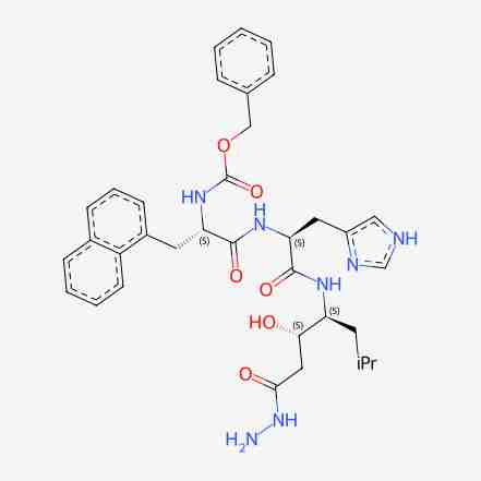 CC(C)C[C@H](NC(=O)[C@H](Cc1c[nH]cn1)NC(=O)[C@H](Cc1cccc2ccccc12)NC(=O)OCc1ccccc1)[C@@H](O)CC(=O)NN